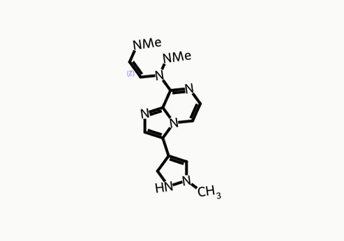 CN/C=C\N(NC)c1nccn2c(C3=CN(C)NC3)cnc12